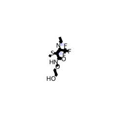 C/C=N/C(=C(\SC)C(=O)NOCCO)C(F)(F)F